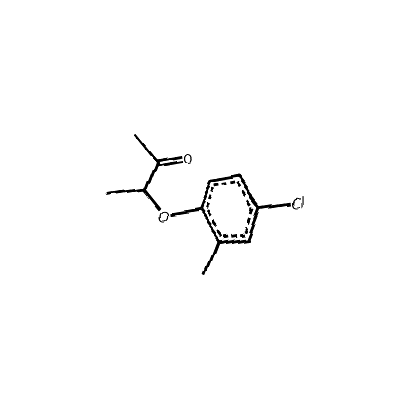 CC(=O)C(C)Oc1ccc(Cl)cc1C